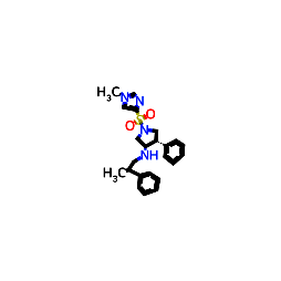 CC(CN[C@H]1CN(S(=O)(=O)c2cn(C)cn2)C[C@@H]1c1ccccc1)c1ccccc1